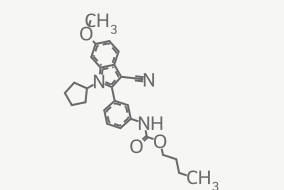 CCCCOC(=O)Nc1cccc(-c2c(C#N)c3ccc(OC)cc3n2C2CCCC2)c1